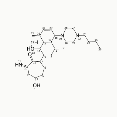 C=C1CC(C2CCC(O)CC(=N)C2=O)C(O)[C@@H]2C1C(N1CCN(CCCC)CC1)C=C[C@@H]2C